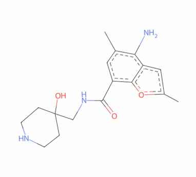 Cc1cc2c(N)c(C)cc(C(=O)NCC3(O)CCNCC3)c2o1